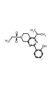 CCS(=O)(=O)N1CCc2c(nc(-c3ccccc3O)nc2N(C)C)C1